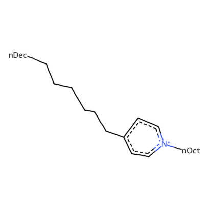 CCCCCCCCCCCCCCCCc1cc[n+](CCCCCCCC)cc1